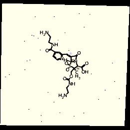 C[C@]1(COC(=O)NCCN)[C@H](C(=O)O)N2C(=O)/C(=C/c3cc(C(=O)NCCN)ccn3)[C@H]2S1(=O)=O